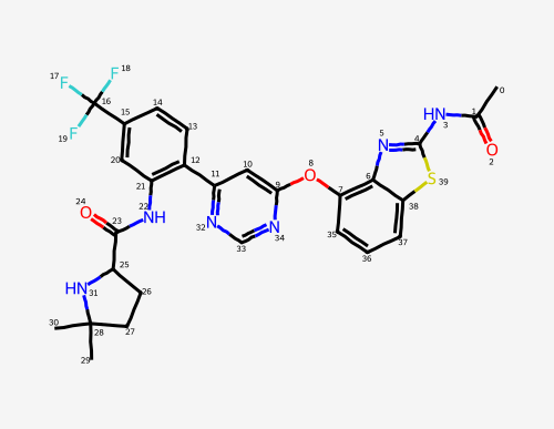 CC(=O)Nc1nc2c(Oc3cc(-c4ccc(C(F)(F)F)cc4NC(=O)C4CCC(C)(C)N4)ncn3)cccc2s1